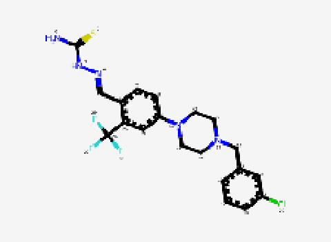 NC(=S)NN=Cc1ccc(N2CCN(Cc3cccc(Cl)c3)CC2)cc1C(F)(F)F